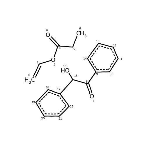 C=COC(=O)CC.O=C(c1ccccc1)C(O)c1ccccc1